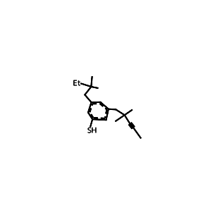 CC#CC(C)(C)Cc1cc(S)cc(CC(C)(C)CC)c1